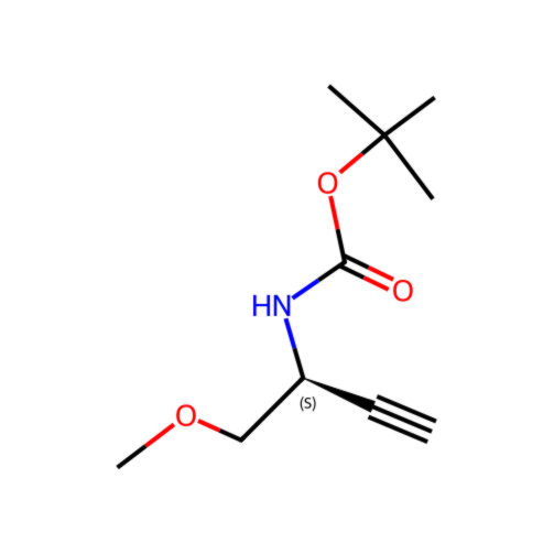 C#C[C@@H](COC)NC(=O)OC(C)(C)C